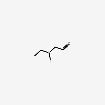 CCN(F)CC=O